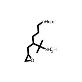 CCCCCCCCCCC(CC1CO1)C(C)(C)N.Cl